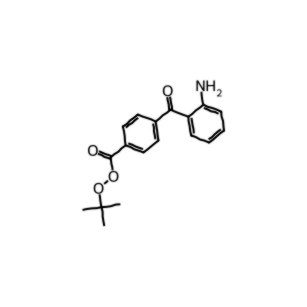 CC(C)(C)OOC(=O)c1ccc(C(=O)c2ccccc2N)cc1